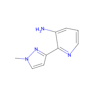 Cn1ccc(-c2ncccc2N)n1